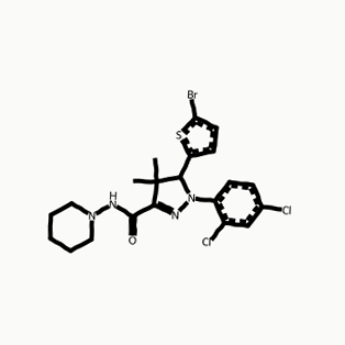 CC1(C)C(C(=O)NN2CCCCC2)=NN(c2ccc(Cl)cc2Cl)C1c1ccc(Br)s1